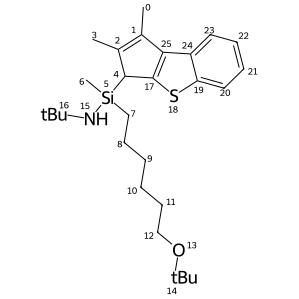 CC1=C(C)C([Si](C)(CCCCCCOC(C)(C)C)NC(C)(C)C)c2sc3ccccc3c21